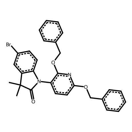 CC1(C)C(=O)N(c2ccc(OCc3ccccc3)nc2OCc2ccccc2)c2ccc(Br)cc21